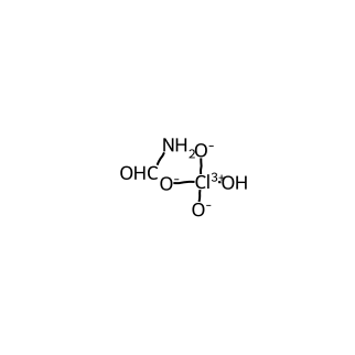 NC=O.[O-][Cl+3]([O-])([O-])O